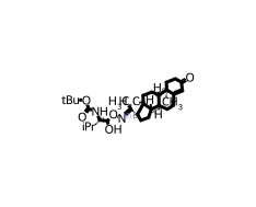 C/C(=N\OC(O)[C@@H](NC(=O)OC(C)(C)C)C(C)C)[C@H]1CC[C@H]2[C@@H]3CCC4=CC(=O)CC[C@]4(C)[C@H]3CC[C@]12C